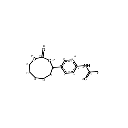 CC(=O)Nc1ccc(C2CCCCCOC(=O)O2)cn1